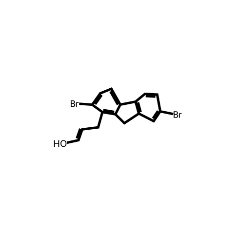 OC=CCc1c(Br)ccc2c1Cc1cc(Br)ccc1-2